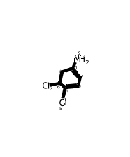 NC1=CC=C(Cl)C(Cl)C1